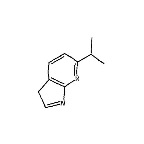 CC(C)c1ccc2c(n1)N=CC2